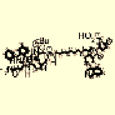 CC(C)(C)OC(=O)N[C@H]1CN(C(=O)NCCCCCCCCCCCN(C(=O)[C@H]2CCCN(c3cncc4ccccc34)C2)c2ccc(=O)n(CC(=O)O)c2)CC[C@H]2CC[C@@H](C(=O)NC(CCC(N)=O)C(=O)NC(c3ccccc3)c3ccccc3)N2C1=O